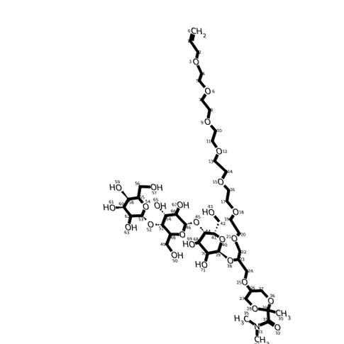 C=CCOCCOCCOCCOCCOCCOCCOCC(COC1COC(C)(C(=O)N(C)C)OC1)O[C@@H]1O[C@@H](CO)[C@@H](O[C@@H]2OC(CO)[C@H](O[C@H]3OC(CO)[C@H](O)[C@H](O)C3O)[C@H](O)C2O)C(O)C1O